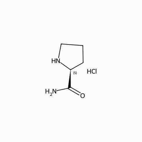 Cl.NC(=O)[C@@H]1CCCN1